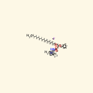 CCCCCCCCCCCCCCCCCCOCC(COC(=O)NCC[N+](C)(C)C)OCc1ccccc1.[I-]